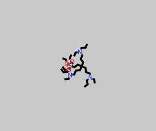 CCCN(CC)CCCC(CCCN(CC)CCC)(CCCN(CC)CCC)CC[Si](OCC)(OCC)OCC